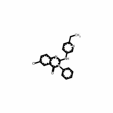 CCc1ccc(Nc2nc3ccc(Cl)cc3c(=O)n2-c2ccccc2)cn1